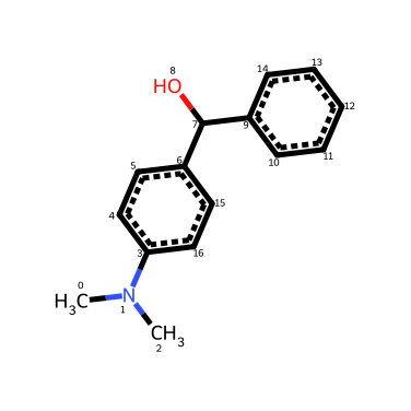 CN(C)c1ccc(C(O)c2ccccc2)cc1